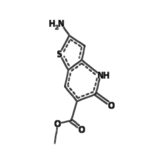 COC(=O)c1cc2sc(N)cc2[nH]c1=O